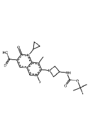 Cc1c(N2CC(NC(=O)OC(C)(C)C)C2)c(F)cc2cc(C(=O)O)c(=O)n(C3CC3)c12